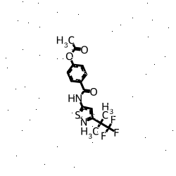 CC(=O)Oc1ccc(C(=O)Nc2cc(C(C)(C)C(F)(F)F)ns2)cc1